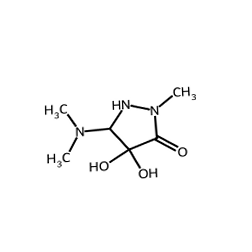 CN1NC(N(C)C)C(O)(O)C1=O